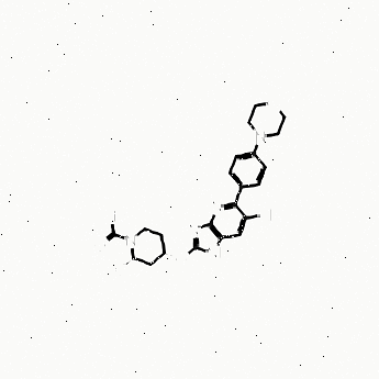 CC(C)C(=O)N1CC[C@H](Oc2nc3nc(-c4ccc(N5CCOCC5)cc4)c(Cl)cc3[nH]2)C[C@H]1C